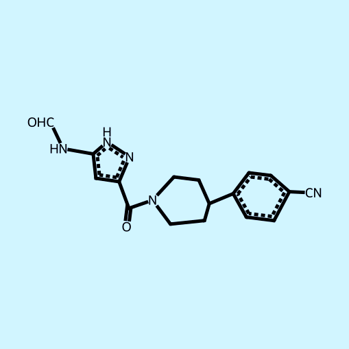 N#Cc1ccc(C2CCN(C(=O)c3cc(NC=O)[nH]n3)CC2)cc1